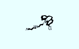 N#C/C=C/CNCCCN1C2=CC(Cl)=CCC2=CCc2ccccc21